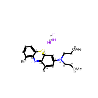 CCc1cccc2[s+]c3cc(N(CCOC)CCOC)cc(C)c3nc12.I.I.[I-]